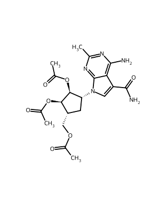 CC(=O)OC[C@H]1C[C@@H](n2cc(C(N)=O)c3c(N)nc(C)nc32)[C@H](OC(C)=O)[C@@H]1OC(C)=O